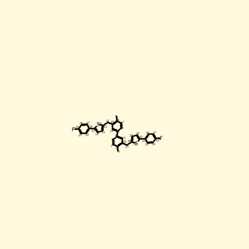 Cc1ccc(-c2ccc(C)c(Cc3ccc(-c4ccc(F)cc4)s3)c2)cc1Cc1ccc(-c2ccc(F)cc2)s1